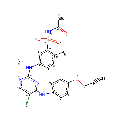 C#CCOc1ccc(Nc2nc(Nc3ccc(C)c(S(=O)(=O)NC(=O)CCCC)c3)ncc2F)cc1.[Na]